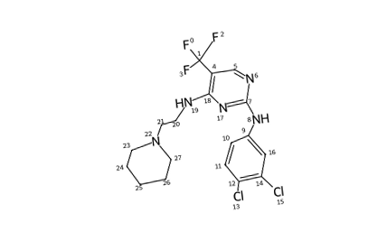 FC(F)(F)c1cnc(Nc2ccc(Cl)c(Cl)c2)nc1NCCN1CCCCC1